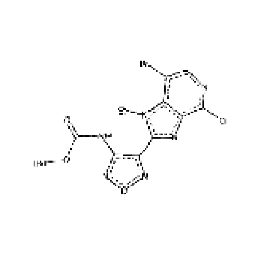 CCn1c(-c2nonc2NC(=O)OC(C)(C)C)nc2c(Cl)ncc(Br)c21